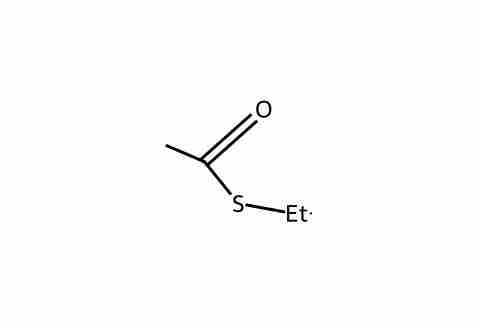 C[CH]SC(C)=O